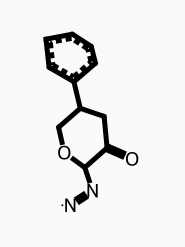 [N]=NC1OCC(c2ccccc2)CC1=O